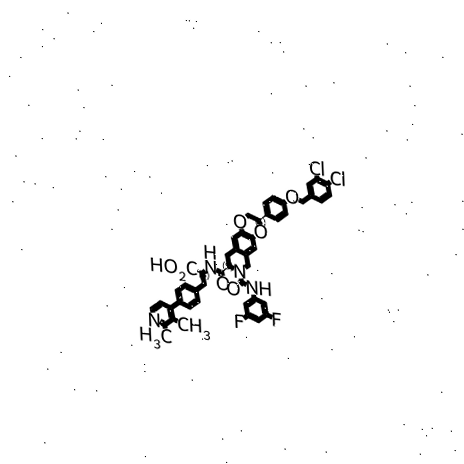 Cc1nccc(-c2ccc(C[C@H](NC(=O)[C@@H]3Cc4cc5c(cc4CN3C(=O)Nc3cc(F)cc(F)c3)O[C@@H](c3ccc(OCc4ccc(Cl)c(Cl)c4)cc3)CO5)C(=O)O)cc2)c1C